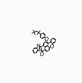 CC(C)(C)CC(C)(C)c1ccc(Oc2cc3c4c(ccc5oc6ccccc6c2c54)c(=O)n2c4ccccc4nc32)cc1